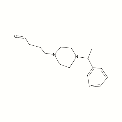 CC(c1ccccc1)N1CCN(CCCC=O)CC1